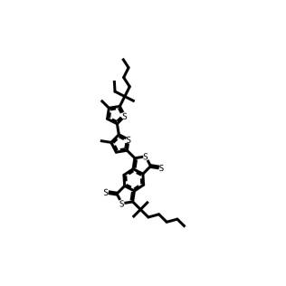 CCCCCC(C)(C)C1=c2cc3c(cc2C(=S)S1)=C(c1cc(C)c(-c2cc(C)c(C(C)(CC)CCCC)s2)s1)SC3=S